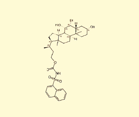 CC[C@H]1[C@@H](O)C2[C@@H]3CC[C@H]([C@H](C)CCOC(=O)NS(=O)(=O)c4cccc5ccccc45)C3(C)CC[C@@H]2C2(C)CC[C@@H](O)C[C@@H]12